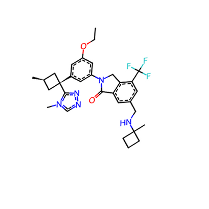 CCOc1cc(N2Cc3c(cc(CNC4(C)CCC4)cc3C(F)(F)F)C2=O)cc([C@]2(c3nncn3C)C[C@H](C)C2)c1